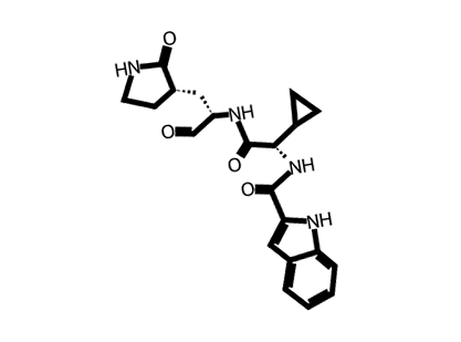 O=C[C@H](C[C@@H]1CCNC1=O)NC(=O)[C@@H](NC(=O)c1cc2ccccc2[nH]1)C1CC1